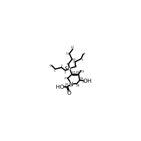 CCC[CH2][Sn]([CH2]CCC)([CH2]CCC)[C]1=C(C)C(O)CN(C(=O)O)C1